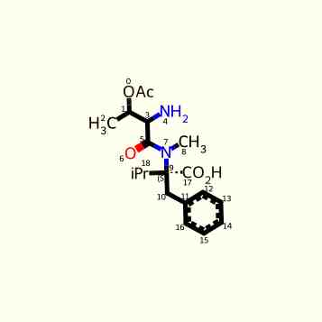 CC(=O)OC(C)C(N)C(=O)N(C)[C@](Cc1ccccc1)(C(=O)O)C(C)C